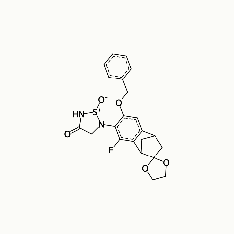 O=C1CN(c2c(OCc3ccccc3)cc3c(c2F)C2CC3CC23OCCO3)[S+]([O-])N1